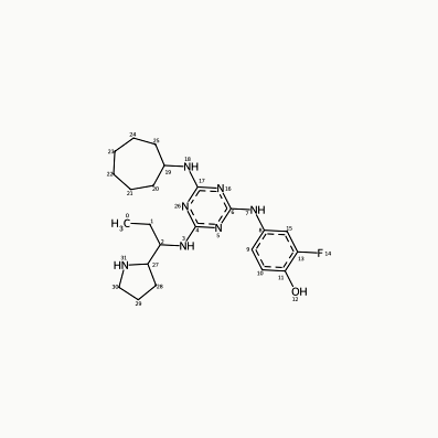 CCC(Nc1nc(Nc2ccc(O)c(F)c2)nc(NC2CCCCCC2)n1)C1CCCN1